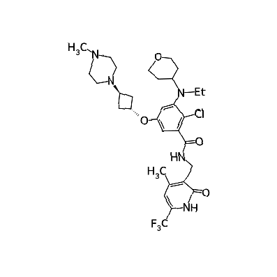 CCN(c1cc(O[C@H]2C[C@H](N3CCN(C)CC3)C2)cc(C(=O)NCc2c(C)cc(C(F)(F)F)[nH]c2=O)c1Cl)C1CCOCC1